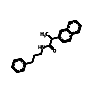 CC(C(=O)NCCCc1ccccc1)c1ccc2ccccc2c1